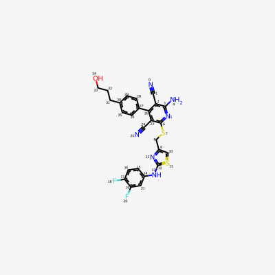 N#Cc1c(N)nc(SCc2csc(Nc3ccc(F)c(F)c3)n2)c(C#N)c1-c1ccc(CCCO)cc1